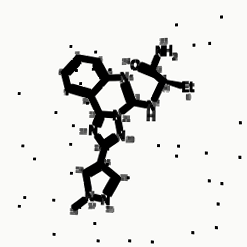 CC[C@@H](Nc1nc2ccccc2c2nc(-c3cnn(C)c3)nn12)C(N)=O